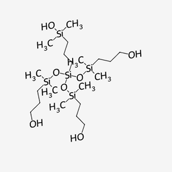 C[Si](C)(O)CCC[Si](O[Si](C)(C)CCCO)(O[Si](C)(C)CCCO)O[Si](C)(C)CCCO